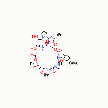 CCC(C)C1NC(=O)C(NC(=O)C(CC(C)C)N(C)C(=O)[C@@H]2C=CCN2C(=O)[C@H](C)O)C(C)OC(=O)[C@H](Cc2ccc(OC)cc2)N(C)C(=O)[C@@H]2CCCN2C(=O)[C@H](CC(C)C)NC(=O)C(C)C(=O)[C@H](C(C)C)OC(=O)CC1O